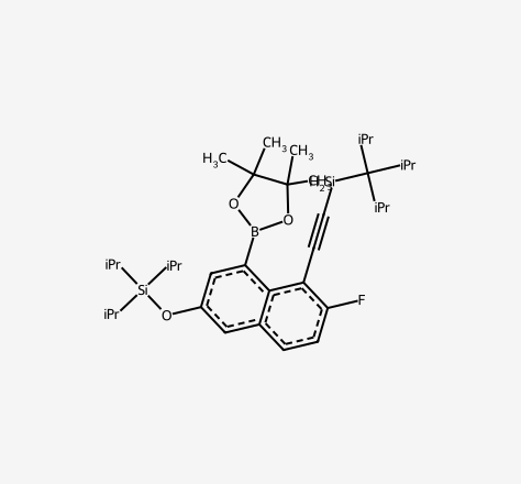 CC(C)C([SiH2]C#Cc1c(F)ccc2cc(O[Si](C(C)C)(C(C)C)C(C)C)cc(B3OC(C)(C)C(C)(C)O3)c12)(C(C)C)C(C)C